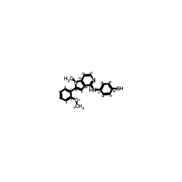 COc1ccccc1-c1cc2c(Nc3ccc(S)cc3)nccc2n1C